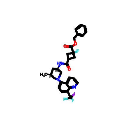 C[C@H]1C[C@@H](NC(=O)C2CC(F)(C(=O)OCc3ccccc3)C2)CN(c2ccc(C(F)(F)I)c3ncccc23)C1